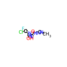 CCN1CCC(CNC(=O)c2cnn3c(O)cc(-c4ccc(F)c(Cl)c4)nc23)CC1